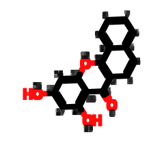 O=c1c2ccc3ccccc3c2oc2cc(O)cc(O)c12